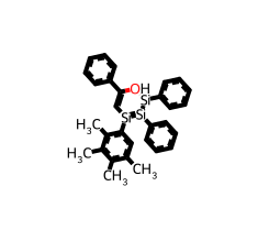 Cc1cc([Si]2=[Si](c3ccccc3)[SiH](c3ccccc3)OC(c3ccccc3)=C2)c(C)c(C)c1C